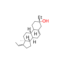 C/C=C1/CC[C@H]2[C@@H]3CC=C4C[C@](O)(CC)CC[C@@H]4[C@H]3CC[C@]12C